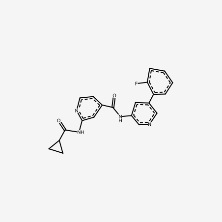 O=C(Nc1cncc(-c2ccccc2F)c1)c1ccnc(NC(=O)C2CC2)c1